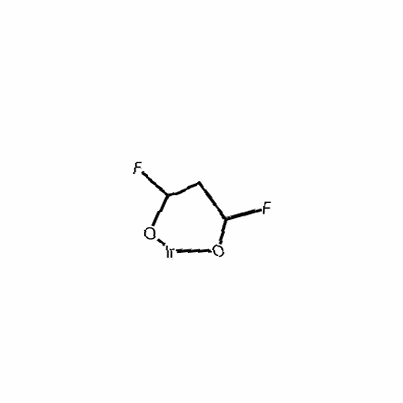 FC1CC(F)[O][Ir][O]1